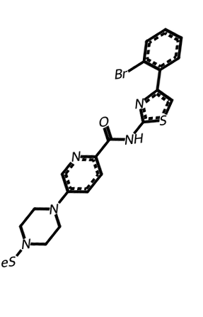 CSN1CCN(c2ccc(C(=O)Nc3nc(-c4ccccc4Br)cs3)nc2)CC1